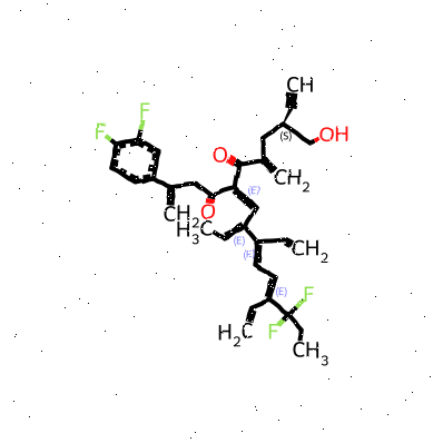 C#C[C@@H](CO)CC(=C)C(=O)/C(=C/C(=C\C)C(/C=C)=C/C=C(\C=C)C(F)(F)CC)C(=O)CC(=C)c1ccc(F)c(F)c1